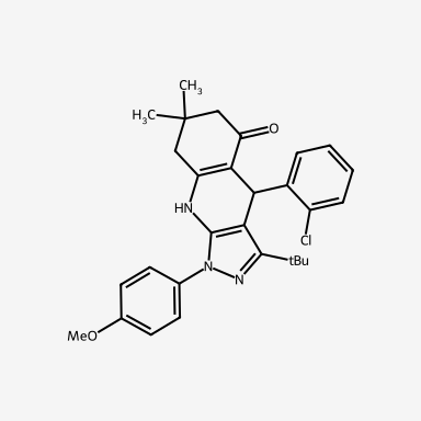 COc1ccc(-n2nc(C(C)(C)C)c3c2NC2=C(C(=O)CC(C)(C)C2)C3c2ccccc2Cl)cc1